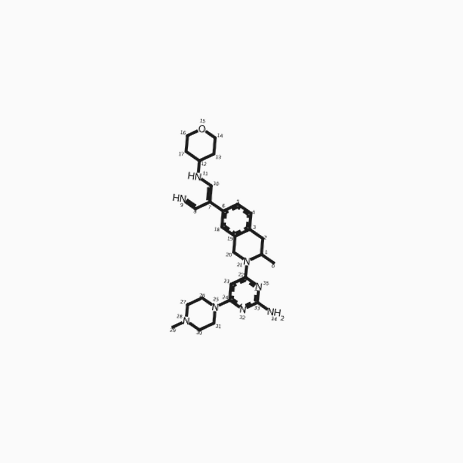 CC1Cc2ccc(/C(C=N)=C/NC3CCOCC3)cc2CN1c1cc(N2CCN(C)CC2)nc(N)n1